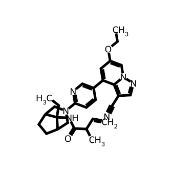 C=CC(C)C(=O)NC1(CC)C2CCC1CN(c1ccc(-c3cc(OCC)cn4ncc(C#N)c34)cn1)C2